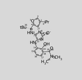 CC(C)c1coc([C@H](Nc2n[s+]([O-])nc2Nc2cccc(C(=O)N(C)C)c2O)C(C)(C)C)c1